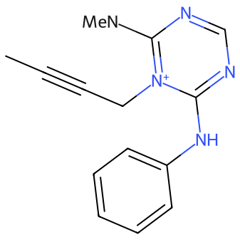 CC#CC[n+]1c(NC)ncnc1Nc1ccccc1